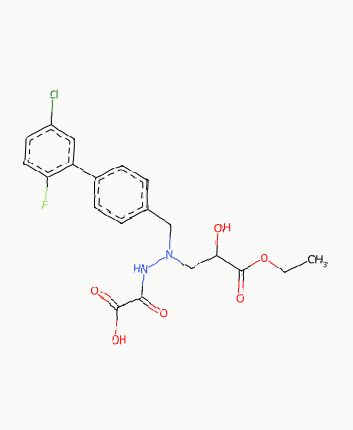 CCOC(=O)C(O)CN(Cc1ccc(-c2cc(Cl)ccc2F)cc1)NC(=O)C(=O)O